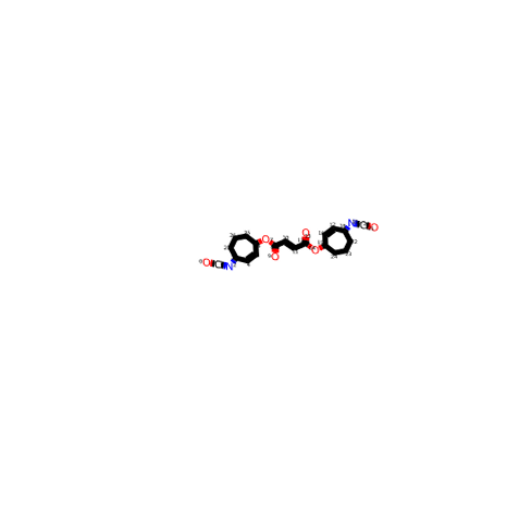 O=C=NC1C=CC(OC(=O)/C=C/C(=O)OC2C=CC(N=C=O)CCC2)CCC1